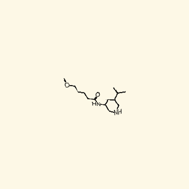 COCCCCC(=O)NC1[CH]C(C(C)C)CNC1